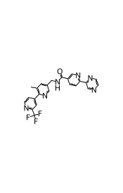 Cc1cc(CNC(=O)c2ccc(-c3cnccn3)nc2)cnc1-c1ccnc(C(F)(F)F)c1